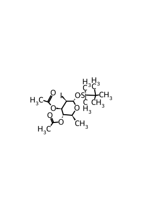 CC(=O)O[C@@H]1[C@@H](OC(C)=O)[C@@H](I)[C@H](O[Si](C)(C)C(C)(C)C)O[C@H]1C